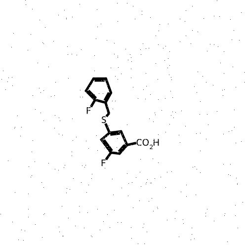 O=C(O)c1cc(F)cc(SCc2ccccc2F)c1